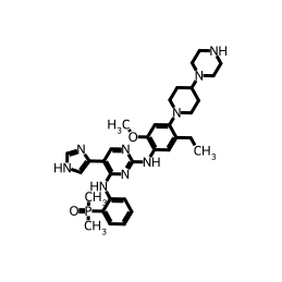 CCc1cc(Nc2ncc(-c3c[nH]cn3)c(Nc3ccccc3P(C)(C)=O)n2)c(OC)cc1N1CCC(N2CCNCC2)CC1